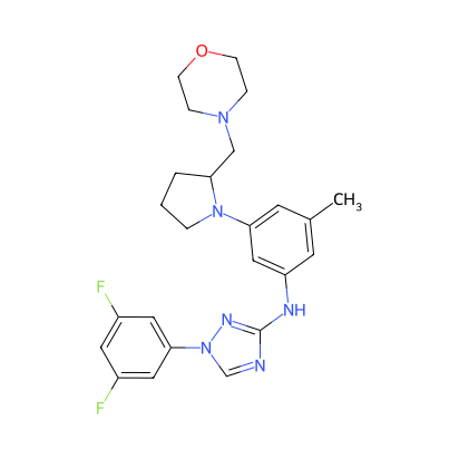 Cc1cc(Nc2ncn(-c3cc(F)cc(F)c3)n2)cc(N2CCCC2CN2CCOCC2)c1